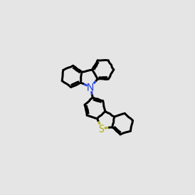 C1=CC2SC3=CCCCC3C2C=C1n1c2c(c3c1=CCCC=3)=CCCC=2